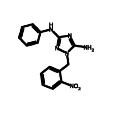 Nc1nc(Nc2ccccc2)nn1Cc1ccccc1[N+](=O)[O-]